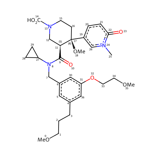 COCCCc1cc(CN(C(=O)[C@H]2CN(C(=O)O)CC[C@]2(OC)c2ccc(=O)n(C)c2)C2CC2)cc(OCCOC)c1